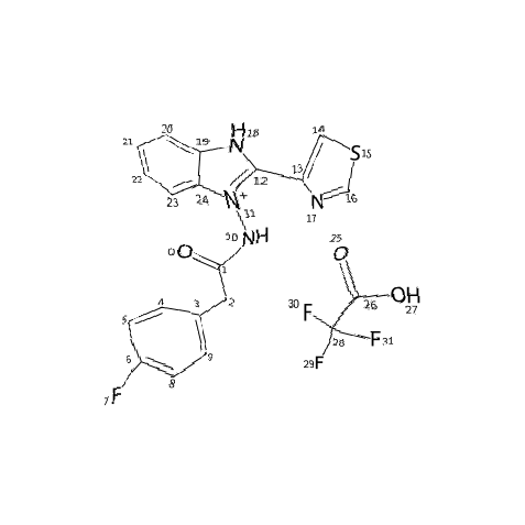 O=C(Cc1ccc(F)cc1)N[n+]1c(-c2cscn2)[nH]c2ccccc21.O=C(O)C(F)(F)F